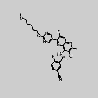 COCCCCCOc1ncc(-c2nc3c(N[C@H](C)c4cc(C#N)ccc4F)c(Cl)c(C)nc3cc2F)cn1